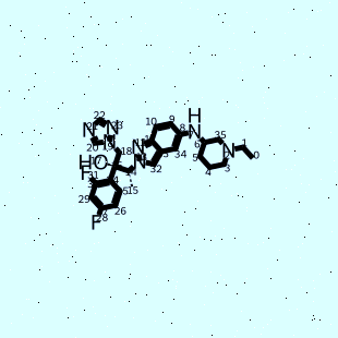 CCN1CCCC(Nc2ccc3nn([C@H](C)[C@](O)(Cn4cncn4)c4ccc(F)cc4F)cc3c2)C1